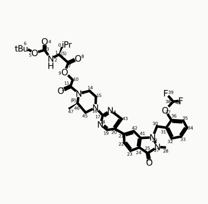 CC(C)[C@H](NC(=O)OC(C)(C)C)C(=O)OCC(=O)N1CCN(c2ncc(-c3ccc4c(=O)n(C)n(Cc5ccccc5OC(F)F)c4c3)cn2)C[C@H]1C